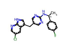 C[C@H](Nc1ncc(Cc2c[nH]c3ncc(Cl)cc23)cn1)c1ccc(F)cc1